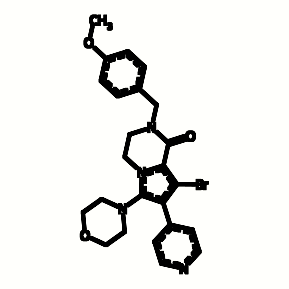 COc1ccc(CN2CCn3c(c(Br)c(-c4ccncc4)c3N3CCOCC3)C2=O)cc1